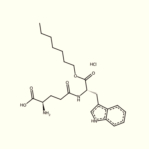 CCCCCCCOC(=O)[C@H](Cc1c[nH]c2ccccc12)NC(=O)CC[C@@H](N)C(=O)O.Cl